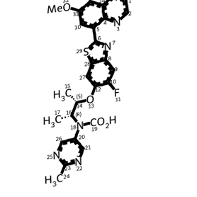 COc1cnc2c(-c3nc4cc(F)c(O[C@@H](C)[C@@H](C)N(C(=O)O)c5cnc(C)nc5)cc4s3)cc(OC)cc2c1